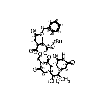 CC(C(C)N1CC(=O)N(COC(=O)C(CC(=O)OCc2ccccc2)NC(=O)OC(C)(C)C)C(=O)C1)N1CC(=O)NC(=O)C1